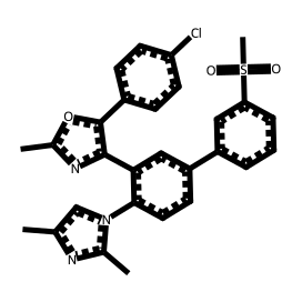 Cc1cn(-c2ccc(-c3cccc(S(C)(=O)=O)c3)cc2-c2nc(C)oc2-c2ccc(Cl)cc2)c(C)n1